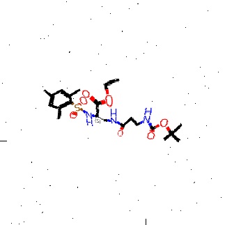 CCOC(=O)[C@H](CNC(=O)CCNC(=O)OC(C)(C)C)NS(=O)(=O)c1c(C)cc(C)cc1C